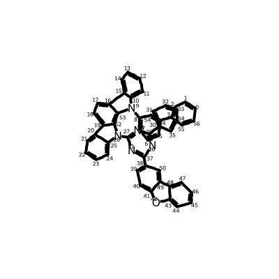 c1ccc(-c2cccc(-n3c4ccccc4c4ccc5c6ccccc6n(-c6nc(-c7ccccc7)nc(-c7ccc8oc9ccccc9c8c7)n6)c5c43)c2)cc1